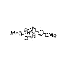 CC[C@H](COC)n1c(=O)c(C)nc2c(-c3ccc(OC)cc3C)ccnc21